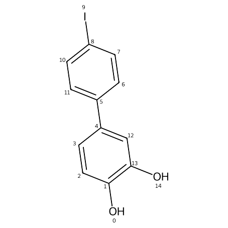 Oc1ccc(-c2ccc(I)cc2)cc1O